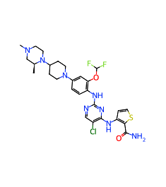 C[C@H]1CN(C)CCN1C1CCN(c2ccc(Nc3ncc(Cl)c(Nc4ccsc4C(N)=O)n3)c(OC(F)F)c2)CC1